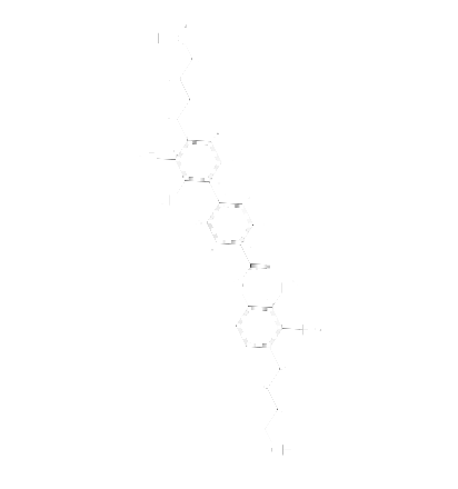 CCCCCc1ccc(OC(=O)c2ccc(-c3ccc(CCCCC)c(F)c3F)cc2)c(F)c1F